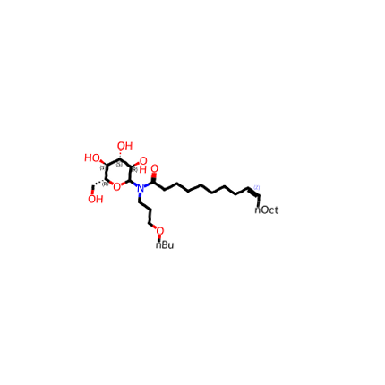 CCCCCCCC/C=C\CCCCCCCC(=O)N(CCCOCCCC)C1O[C@H](CO)[C@@H](O)[C@H](O)[C@H]1O